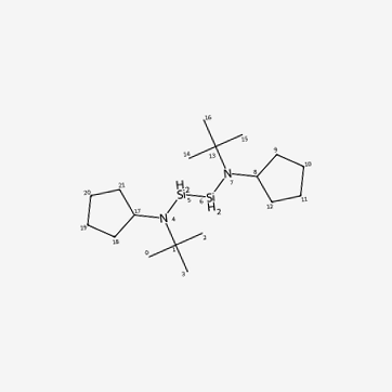 CC(C)(C)N([SiH2][SiH2]N(C1CCCC1)C(C)(C)C)C1CCCC1